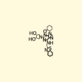 O=C1CCCCC1n1cnc2c(NCc3nc4ccccc4s3)nc(N3CC(O)C(O)C3)nc21